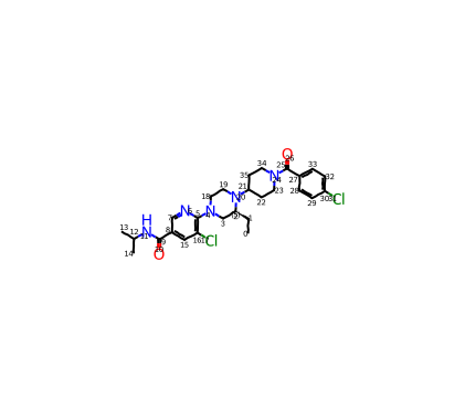 CC[C@H]1CN(c2ncc(C(=O)NC(C)C)cc2Cl)CCN1C1CCN(C(=O)c2ccc(Cl)cc2)CC1